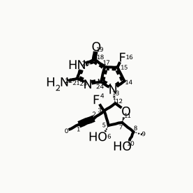 CC#CC1(F)[C@@H](O)[C@@H]([C@H](C)O)O[C@H]1n1cc(F)c2c(=O)[nH]c(N)nc21